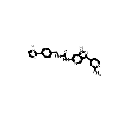 Cc1cc(-c2n[nH]c3cc(NC(=O)NCc4ccc(-c5ncc[nH]5)cc4)ncc23)ccn1